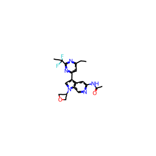 CCc1cc(-c2cn(C3COC3)c3cnc(NC(C)=O)cc23)nc(C(C)(F)F)n1